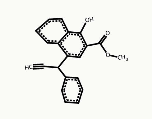 C#CC(c1ccccc1)c1cc(C(=O)OC)c(O)c2ccccc12